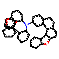 c1ccc(-c2ccccc2N(c2ccc3ccc4ccc5oc6ccccc6c5c4c3c2)c2cccc3oc4ccccc4c23)cc1